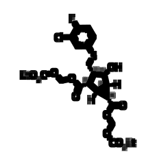 CCOC(=O)OCOC(=O)[C@@H]1[C@H](CSc2ccc(F)c(Cl)c2)[C@@H](O)[C@H]2[C@H](C(=O)OCOC(=O)OCC)[C@@H]12